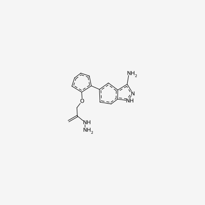 C=C(COc1ccccc1-c1ccc2[nH]nc(N)c2c1)NN